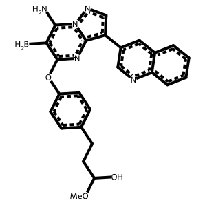 Bc1c(Oc2ccc(CCC(O)OC)cc2)nc2c(-c3cnc4ccccc4c3)cnn2c1N